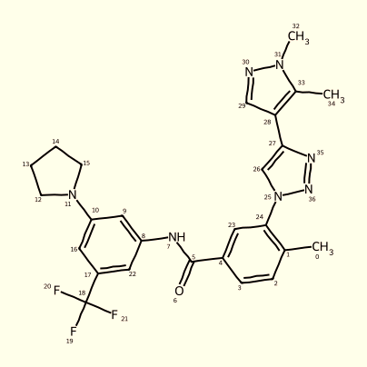 Cc1ccc(C(=O)Nc2cc(N3CCCC3)cc(C(F)(F)F)c2)cc1-n1cc(-c2cnn(C)c2C)nn1